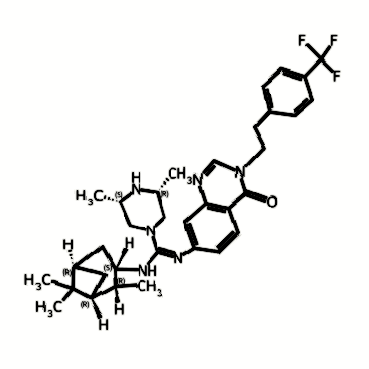 C[C@H]1[C@@H](NC(=Nc2ccc3c(=O)n(CCc4ccc(C(F)(F)F)cc4)cnc3c2)N2C[C@@H](C)N[C@@H](C)C2)C[C@H]2C[C@H]1C2(C)C